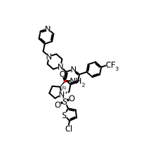 NC(=O)[C@@H]1CCC[N+]1(Cc1cc(-c2ccc(C(F)(F)F)cc2)nc(N2CCN(Cc3ccncc3)CC2)c1)S(=O)(=O)c1ccc(Cl)s1